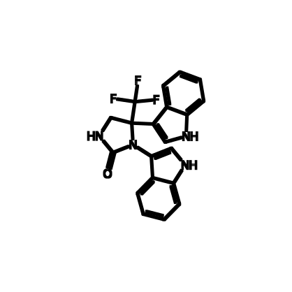 O=C1NCC(c2c[nH]c3ccccc23)(C(F)(F)F)N1c1c[nH]c2ccccc12